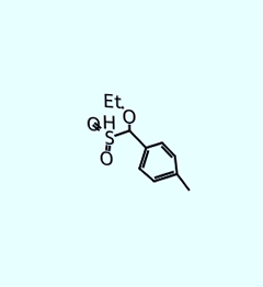 CCOC(c1ccc(C)cc1)[SH](=O)=O